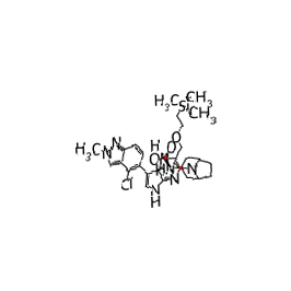 Cn1cc2c(Cl)c(-c3c[nH]c4nc(N5C6CCC5CC(NC(=O)O)C6)c(COCC[Si](C)(C)C)nc34)ccc2n1